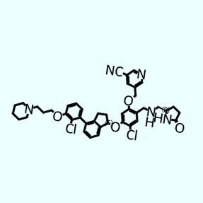 N#Cc1cncc(COc2cc(O[C@H]3CCc4c(-c5cccc(OCCCN6CCCCC6)c5Cl)cccc43)c(Cl)cc2CNC[C@H]2CCC(=O)N2)c1